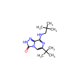 CC(C)(C)CNc1nc(C(C)(C)C)cn2c(=O)[nH]nc12